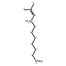 CCCCCCCCCCCC[SiH2]C=C(C)C